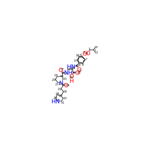 CC(C)COOc1ccc(C(=O)NC(CNC(=O)[C@@H]2CCCN(C(=O)CCC3CCNCC3)C2)C(=O)O)cc1